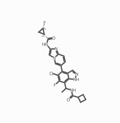 CC(NC(=O)C1CCC1)c1c(F)c(Cl)c(-c2ccc3nc(NC(=O)[C@@H]4C[C@@H]4F)cn3c2)c2cn[nH]c12